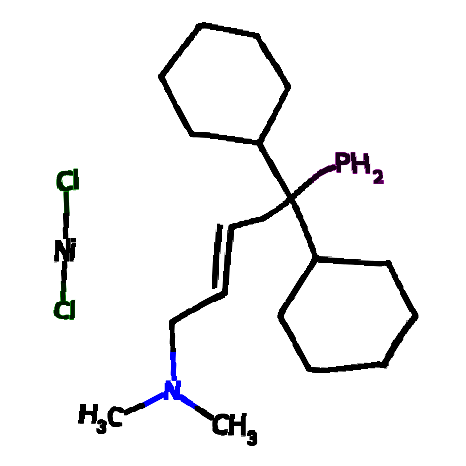 CN(C)C/C=C/C(P)(C1CCCCC1)C1CCCCC1.[Cl][Ni][Cl]